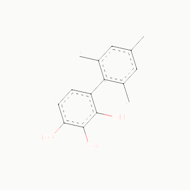 Cc1cc(C)c(-c2ccc(O)c(O)c2O)c(C)c1